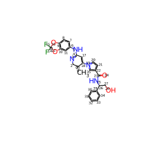 C[C@@H]1CN=C(Nc2ccc3c(c2)OC(F)(F)O3)C=C1n1ccc(C(=O)NC(CO)c2ccccc2)c1